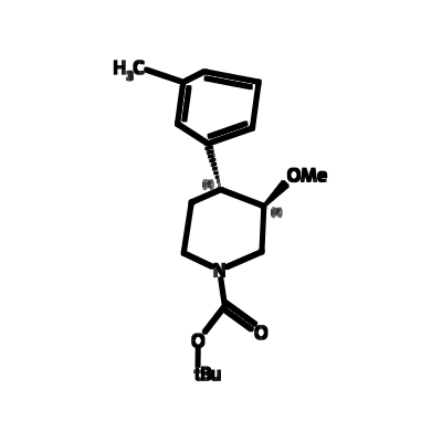 CO[C@H]1CN(C(=O)OC(C)(C)C)CC[C@@H]1c1cccc(C)c1